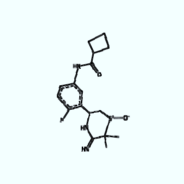 CC1(C)C(=N)NC(c2cc(NC(=O)C3CCC3)ccc2F)C[S+]1[O-]